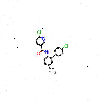 O=C(Nc1ccc(C(F)(F)F)cc1-c1ccc(Cl)cc1)c1ccc(Cl)nc1